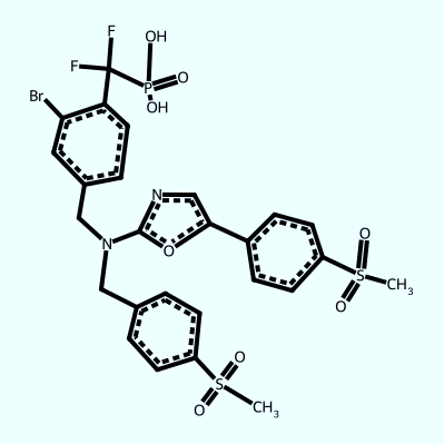 CS(=O)(=O)c1ccc(CN(Cc2ccc(C(F)(F)P(=O)(O)O)c(Br)c2)c2ncc(-c3ccc(S(C)(=O)=O)cc3)o2)cc1